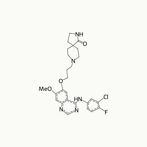 COc1cc2ncnc(Nc3ccc(F)c(Cl)c3)c2cc1OCCCN1CCC2(CCNC2=O)CC1